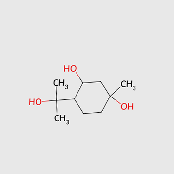 CC1(O)CCC(C(C)(C)O)C(O)C1